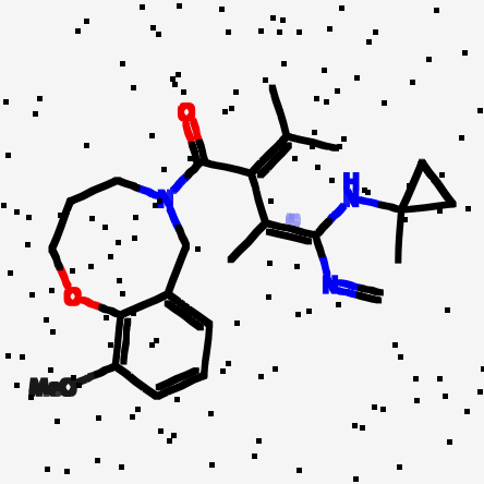 C=N/C(NC1(C)CC1)=C(\C)C(C(=O)N1CCCOc2c(cccc2OC)C1)=C(C)C